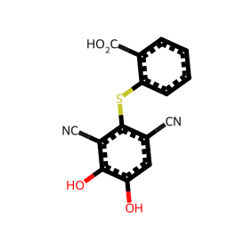 N#Cc1cc(O)c(O)c(C#N)c1Sc1ccccc1C(=O)O